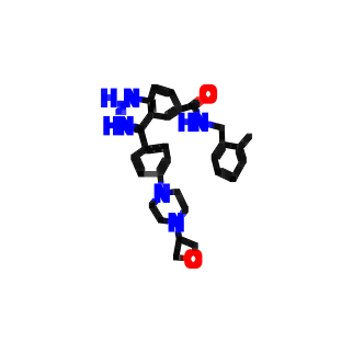 Cc1ccccc1CNC(=O)c1ccc(N)c(C(=N)c2ccc(N3CCN(C4COC4)CC3)cc2)c1